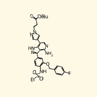 CCS(=O)(=O)Nc1ccc(-c2n[nH]c3c(-c4cnn(CCC(=O)OCC(C)C)c4)cnc(N)c23)cc1OCc1ccc(F)cc1